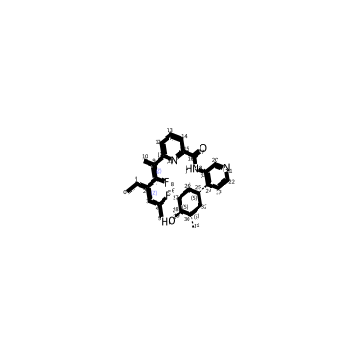 CCC(=C/C(C)F)/C(F)=C(\C)c1cccc(C(=O)Nc2cnccc2[C@H]2CC[C@H](O)[C@@H](C)C2)n1